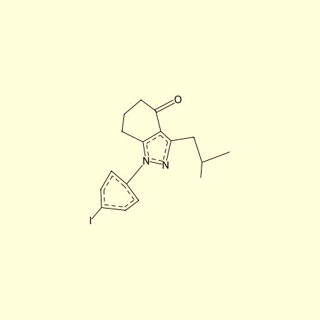 CC(C)Cc1nn(-c2ccc(I)cc2)c2c1C(=O)CCC2